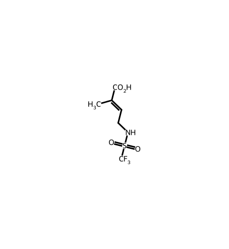 CC(=CCNS(=O)(=O)C(F)(F)F)C(=O)O